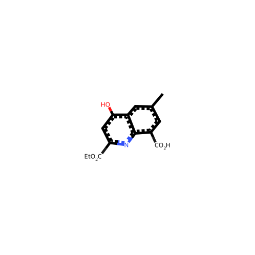 CCOC(=O)c1cc(O)c2cc(C)cc(C(=O)O)c2n1